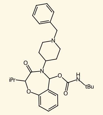 CC(C)C1Oc2ccccc2C(OC(=O)NC(C)(C)C)N(C2CCN(Cc3ccccc3)CC2)C1=O